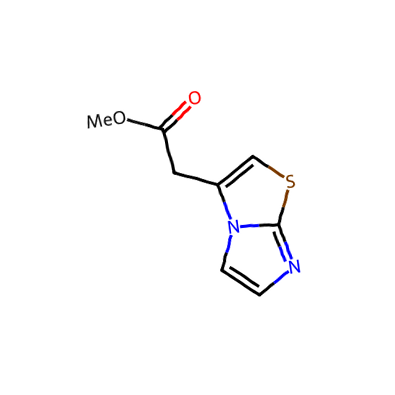 COC(=O)Cc1csc2nccn12